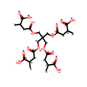 CC(CC(=O)OCC(COC(=O)CC(C)C(=O)O)(COC(=O)CC(C)C(=O)O)COC(=O)CC(C)C(=O)O)C(=O)O